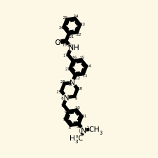 CN(C)c1ccc(CN2CCN(c3cccc(CNC(=O)c4ccccc4)c3)CC2)cc1